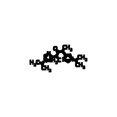 CC(C(=O)C(C)c1cn(C(C)C)cn1)c1cn(C(C)C)cn1